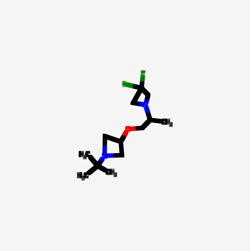 CC(COC1CN(C(C)(C)C)C1)N1CC(F)(F)C1